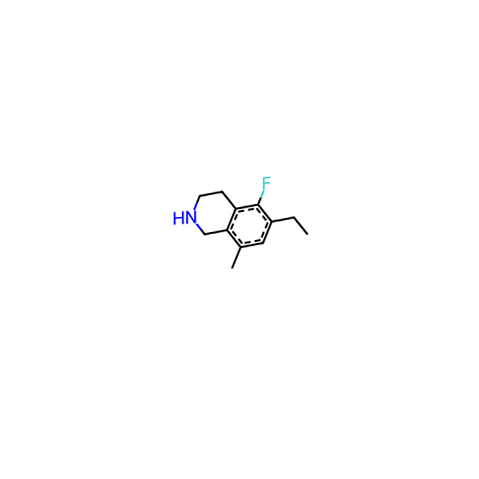 CCc1cc(C)c2c(c1F)CCNC2